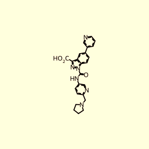 O=C(O)c1nn(C(=O)Nc2ccc(CN3CCCC3)nc2)c2ccc(-c3cccnc3)cc12